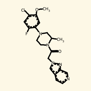 COc1cc(N2CCN(C(=O)Cn3cc4ccncc4n3)C(C)C2)c(F)cc1Cl